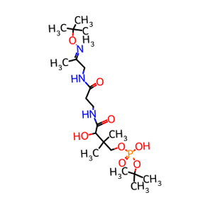 C/C(CNC(=O)CCNC(=O)C(O)C(C)(C)COP(=O)(O)OC(C)(C)C)=N\OC(C)(C)C